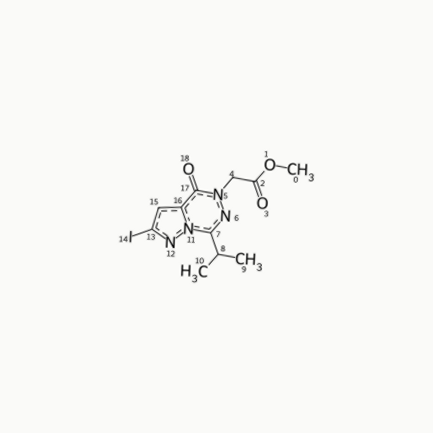 COC(=O)Cn1nc(C(C)C)n2nc(I)cc2c1=O